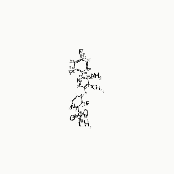 Cc1c(Cc2ccnc(S(C)(=O)=O)c2F)cnc(-c2ccc(F)cc2F)c1N